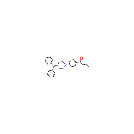 CCCC(=O)c1ccc(N2CCC(=C(c3ccccc3)c3ccccc3)CC2)cc1